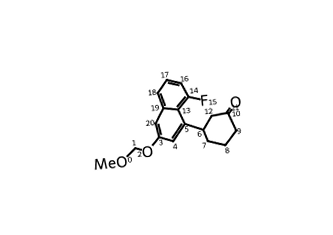 COCOc1cc(C2CCCC(=O)C2)c2c(F)cccc2c1